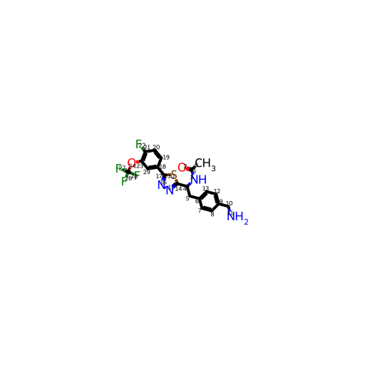 CC(=O)NC(Cc1ccc(CN)cc1)c1nnc(-c2ccc(F)c(OC(F)(F)F)c2)s1